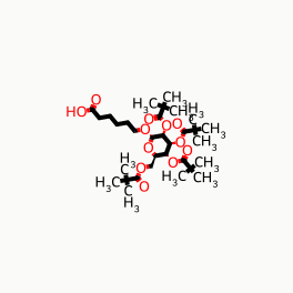 CC(C)(C)C(=O)OC[C@H]1O[C@H](OCCCCCC(=O)O)[C@@H](OC(=O)C(C)(C)C)[C@@H](OC(=O)C(C)(C)C)[C@@H]1OC(=O)C(C)(C)C